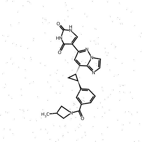 CC1CN(C(=O)c2cccc([C@H]3C[C@@H]3c3cc(-c4c[nH]c(=O)[nH]c4=O)nn4ccnc34)c2)C1